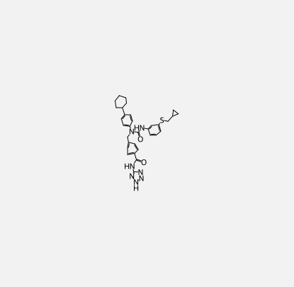 O=C(Nc1nn[nH]n1)c1ccc(CN(C(=O)Nc2cccc(SCC3CC3)c2)c2ccc(C3CCCCC3)cc2)cc1